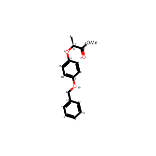 COC(=O)[C@H](C)Oc1ccc(OCc2ccccc2)cc1